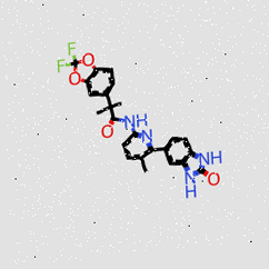 Cc1ccc(NC(=O)C(C)(C)c2ccc3c(c2)OC(F)(F)O3)nc1-c1ccc2[nH]c(=O)[nH]c2c1